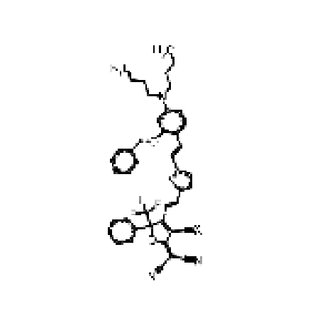 CCCCN(CCCC)c1ccc(C=Cc2ccc(C=CC3=C(C#N)C(=C(C#N)C#N)OC3(c3ccccc3)C(F)(F)F)s2)c(OCc2ccccc2)c1